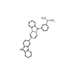 CC(C)c1cccc(N2c3ccccc3C3C=C(c4ccc5[nH]c6ccccc6c5c4)C=CC32)c1